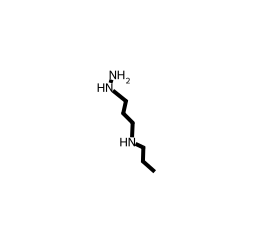 CCCNCCCNN